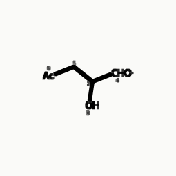 CC(=O)CC(O)[C]=O